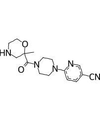 CC1(C(=O)N2CCN(c3ccc(C#N)cn3)CC2)CNCCO1